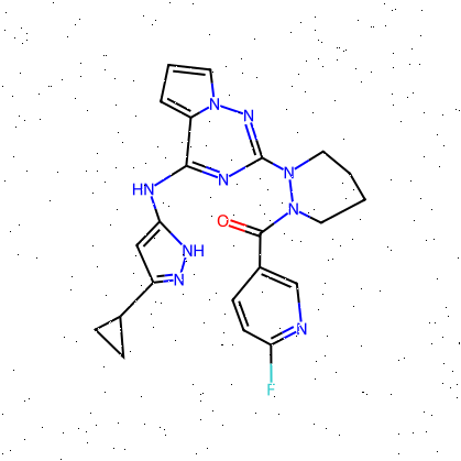 O=C(c1ccc(F)nc1)N1CCCCN1c1nc(Nc2cc(C3CC3)n[nH]2)c2cccn2n1